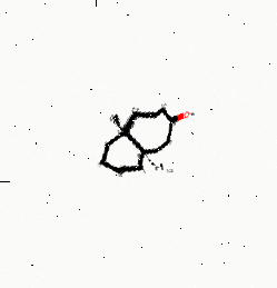 C[C@]12CCCC[C@@H]1CC(=O)CC2